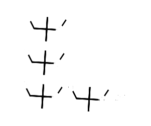 COC(C)(C)C[O-].COC(C)(C)C[O-].COC(C)(C)C[O-].COC(C)(C)C[O-].[Zr+4]